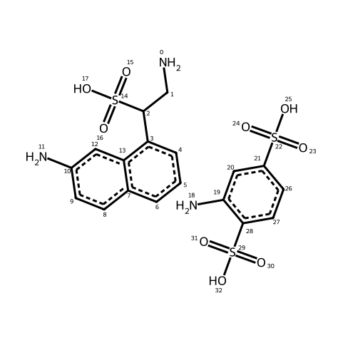 NCC(c1cccc2ccc(N)cc12)S(=O)(=O)O.Nc1cc(S(=O)(=O)O)ccc1S(=O)(=O)O